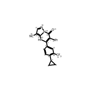 CC(C)c1c(-c2ccc(C3CC3)c(C(F)(F)F)c2)[nH]c2c(C#N)cnn2c1=O